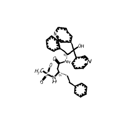 CS(=O)(=O)N[C@@H](CCc1ccccc1)C(=O)N[C@H](c1ccccc1)C(O)(c1cccnc1)c1cccnc1